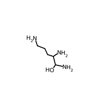 NCCCC(N)C(N)O